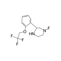 FN1CCNC(c2ccccc2OCC(F)(F)F)C1